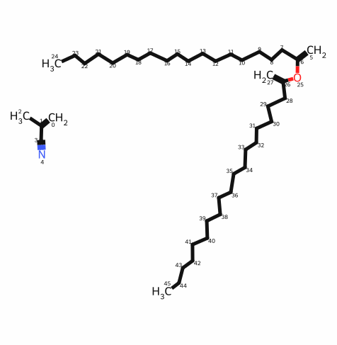 C=C(C)C#N.C=C(CCCCCCCCCCCCCCCCCC)OC(=C)CCCCCCCCCCCCCCCCCC